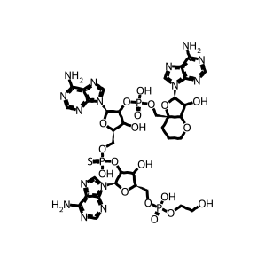 Nc1ncnc2c1ncn2[C@@H]1O[C@@]2(COP(=O)(O)OC3C(O)[C@@H](COP(O)(=S)OC4C(O)[C@@H](COP(=O)(O)OCCO)O[C@H]4n4cnc5c(N)ncnc54)O[C@H]3n3cnc4c(N)ncnc43)CCCOC2C1O